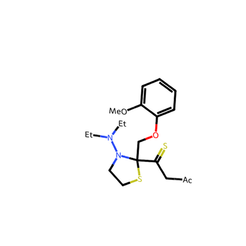 CCN(CC)N1CCSC1(COc1ccccc1OC)C(=S)CC(C)=O